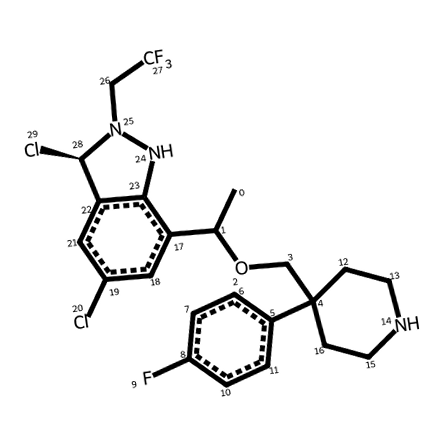 CC(OCC1(c2ccc(F)cc2)CCNCC1)c1cc(Cl)cc2c1NN(CC(F)(F)F)[C@@H]2Cl